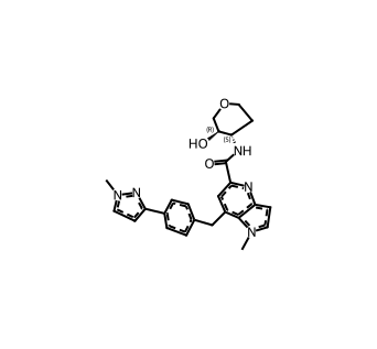 Cn1ccc(-c2ccc(Cc3cc(C(=O)N[C@H]4CCOC[C@@H]4O)nc4ccn(C)c34)cc2)n1